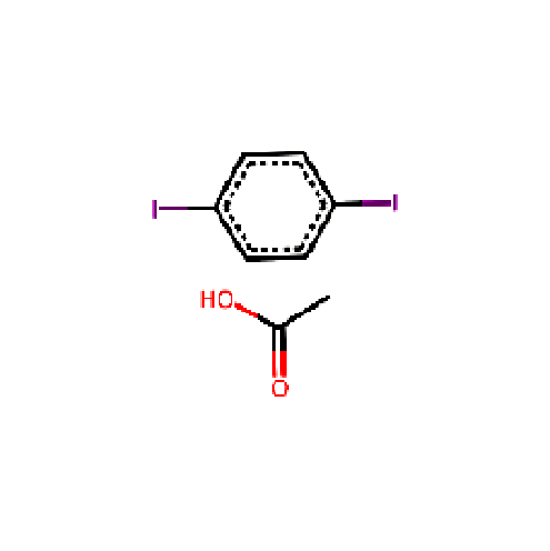 CC(=O)O.Ic1ccc(I)cc1